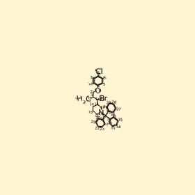 [CH2]C(COc1ccc(Cl)cc1)C(Br)C1CCCN(C(c2ccccc2)(c2ccccc2)c2ccccc2)C1